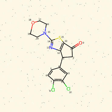 O=C1CC(c2ccc(Cl)c(Cl)c2)c2nc(N3CCOCC3)sc21